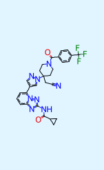 N#CCC1(n2cc(-c3cccc4nc(NC(=O)C5CC5)nn34)cn2)CCN(C(=O)c2ccc(C(F)(F)F)cc2)CC1